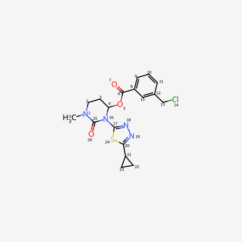 CN1CCC(OC(=O)c2cccc(CCl)c2)N(c2nnc(C3CC3)s2)C1=O